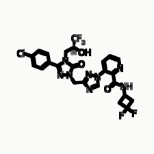 O=C(NC1CC(F)(F)C1)c1ncccc1-n1cnc(Cn2nc(-c3ccc(Cl)cc3)n(C[C@H](O)C(F)(F)F)c2=O)n1